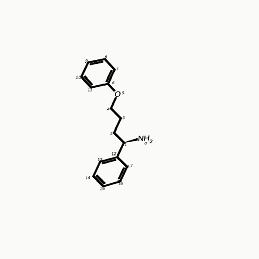 N[C@H](CCCOc1cc[c]cc1)c1ccccc1